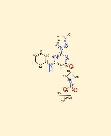 Cc1ccn(-c2nc(NC3CC=CCC3)cc(OC3CN(C(=O)OC(C)(C)C)C3)n2)n1